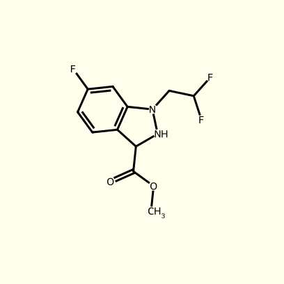 COC(=O)C1NN(CC(F)F)c2cc(F)ccc21